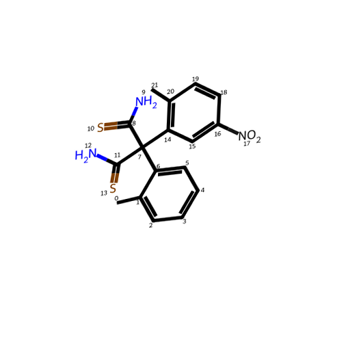 Cc1ccccc1C(C(N)=S)(C(N)=S)c1cc([N+](=O)[O-])ccc1C